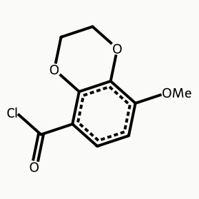 COc1ccc(C(=O)Cl)c2c1OCCO2